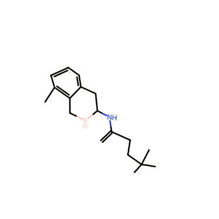 C=C(CCC(C)(C)C)NC1BCc2c(C)cccc2C1